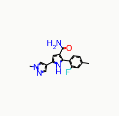 Cc1ccc(-c2[nH]c(-c3cnn(C)c3)cc2C(N)=O)c(F)c1